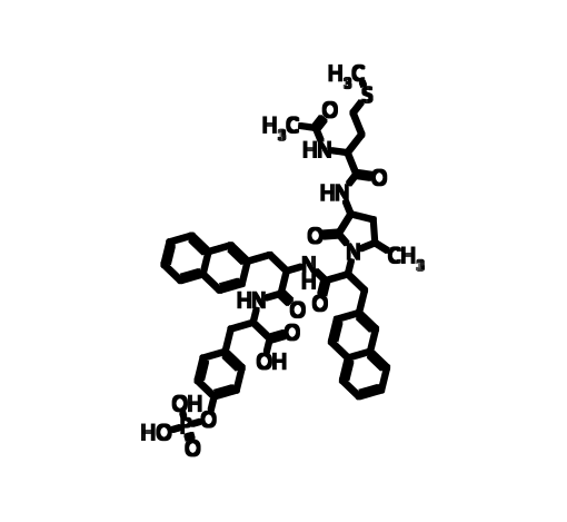 CSCCC(NC(C)=O)C(=O)NC1CC(C)N(C(Cc2ccc3ccccc3c2)C(=O)NC(Cc2ccc3ccccc3c2)C(=O)NC(Cc2ccc(OP(=O)(O)O)cc2)C(=O)O)C1=O